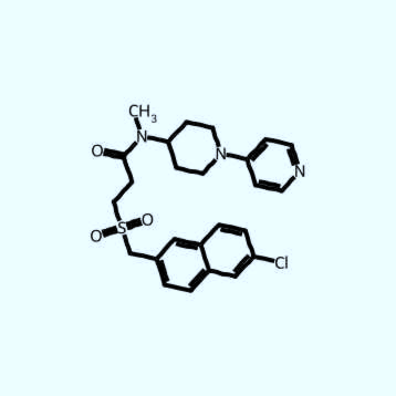 CN(C(=O)CCS(=O)(=O)Cc1ccc2cc(Cl)ccc2c1)C1CCN(c2ccncc2)CC1